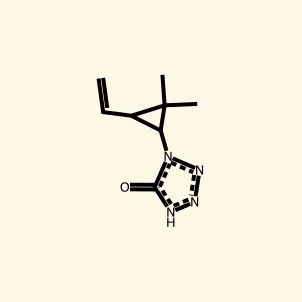 C=CC1C(n2nn[nH]c2=O)C1(C)C